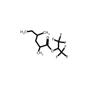 CCC(C)CC(C)C(=O)OC(C(F)(F)F)C(F)(F)F